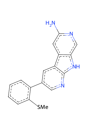 CSc1ccccc1-c1cnc2[nH]c3cnc(N)cc3c2c1